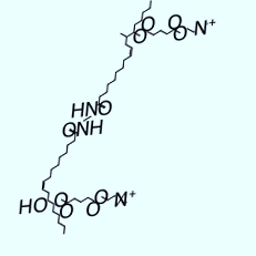 CCCCCC(OC(=O)CCCC(=O)OCC[N+](C)(C)C)C(C)C/C=C\CCCCCCCC(=O)NCCNC(=O)CCCCCCC/C=C\CC(O)C(CCCCC)OC(=O)CCCC(=O)OCC[N+](C)(C)C